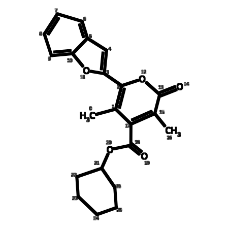 Cc1c(-c2cc3ccccc3o2)oc(=O)c(C)c1C(=O)OC1CCCCC1